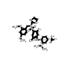 COc1ccc(CN(c2nccs2)S(=O)(=O)c2cc(Cl)c(N[C@H]3CC[C@H](C(F)(F)F)C[C@@H]3N(C)C)cc2F)c(OC)c1